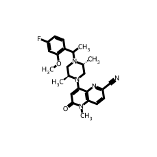 COc1cc(F)ccc1C(C)N1C[C@H](C)N(c2cc(=O)n(C)c3ccc(C#N)nc23)C[C@H]1C